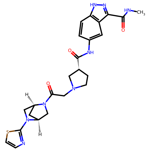 CNC(=O)c1n[nH]c2ccc(NC(=O)[C@@H]3CCN(CC(=O)N4C[C@@H]5C[C@H]4CN5c4nccs4)C3)cc12